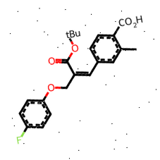 Cc1cc(C=C(COc2ccc(F)cc2)C(=O)OC(C)(C)C)ccc1C(=O)O